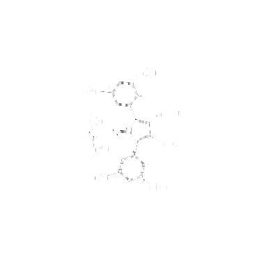 CCCCCCCCC1=C(c2cc(CCCC)cc(CCCC)c2)[N+](=[N-])C(c2cc(CCCC)cc(CCCC)c2)=C1CCCC.CCC[CH2][Ni][CH2]CCC